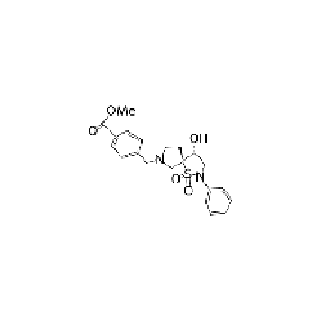 COC(=O)c1ccc(CN2CC[C@@]3(C2)[C@H](O)CN(c2ccccc2)S3(=O)=O)cc1